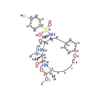 COC(=O)[C@@H]1CCCCOc2ccc(cc2)C[C@H](NS(=O)(=O)c2ccc(F)cc2)C(=O)N[C@@H](C(C)C)C(=O)N1